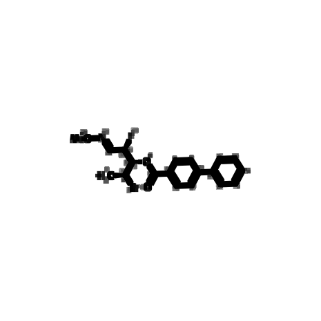 [CH2][C@H](Br)[C@@H](OC(=O)c1ccc(-c2ccccc2)cc1)[C@H](F)C=NOC